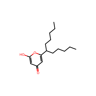 CCCCCC(CCCCC)c1cc(=O)cc(O)o1